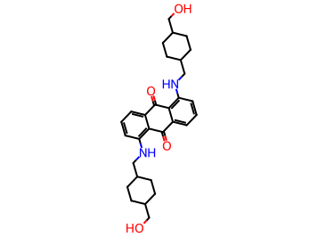 O=C1c2cccc(NCC3CCC(CO)CC3)c2C(=O)c2cccc(NCC3CCC(CO)CC3)c21